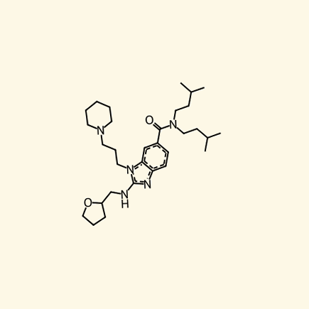 CC(C)CCN(CCC(C)C)C(=O)c1ccc2nc(NCC3CCCO3)n(CCCN3CCCCC3)c2c1